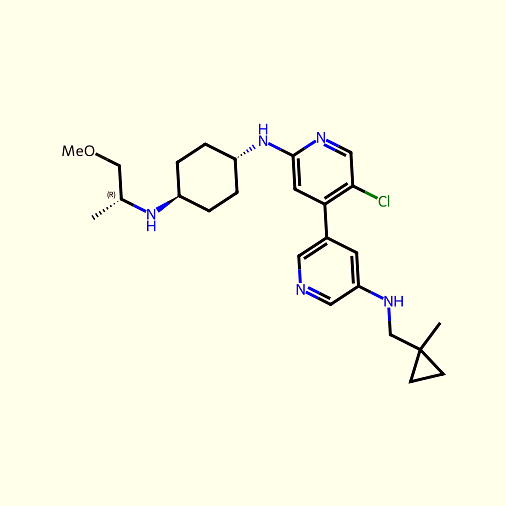 COC[C@@H](C)N[C@H]1CC[C@H](Nc2cc(-c3cncc(NCC4(C)CC4)c3)c(Cl)cn2)CC1